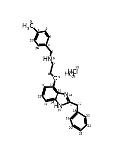 Cc1ccc(CNCCOc2cccc3[nH]c(Cc4ccccc4)nc23)cc1.Cl.Cl